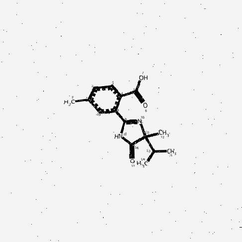 Cc1ccc(C(=O)O)c(C2=NC(C)(C(C)C)C(=O)N2)c1